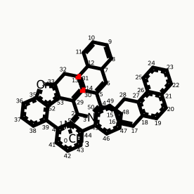 C/N=C(\N=C(/C1=CC2C=CC=CC2C=C1)C1C=Cc2ccc3ccccc3c2C1)C1=CCCc2oc3cccc(-c4cccc(-c5ccccc5)c4)c3c21